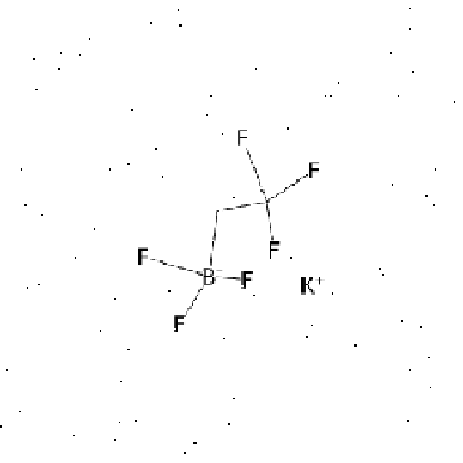 F[B-](F)(F)CC(F)(F)F.[K+]